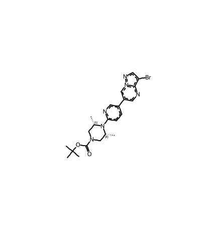 C[C@@H]1CN(C(=O)OC(C)(C)C)C[C@H](C)N1c1ccc(-c2cnc3c(Br)cnn3c2)cn1